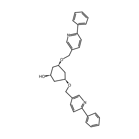 O[C@H]1C[C@@H](OCc2ccc(-c3ccccc3)nc2)C[C@@H](OCc2ccc(-c3ccccc3)nc2)C1